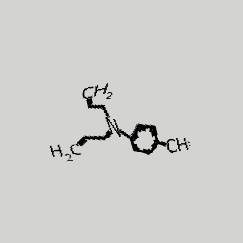 [CH]c1ccc(N(CC=C)CC=C)cc1